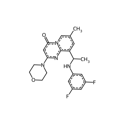 Cc1cc(C(C)Nc2cc(F)cc(F)c2)c2nc(N3CCOCC3)cc(=O)n2c1